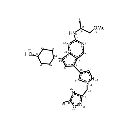 COC[C@H](C)Nc1ncc2c(-c3cnn(Cc4noc(C)n4)c3)cc([C@H]3CC[C@H](O)CC3)n2n1